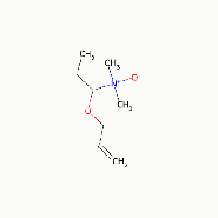 C=CCOC(CC)[N+](C)(C)[O-]